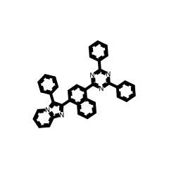 c1ccc(-c2nc(-c3ccccc3)nc(-c3ccc(-c4nc5ccccn5c4-c4ccccc4)c4ccccc34)n2)cc1